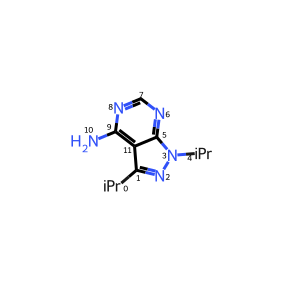 CC(C)c1nn(C(C)C)c2ncnc(N)c12